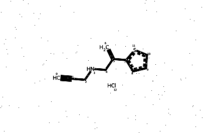 C#CCNCC(=C)c1cccs1.Cl